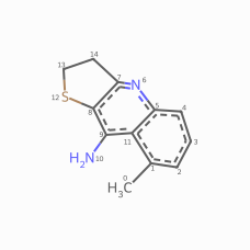 Cc1cccc2nc3c(c(N)c12)SCC3